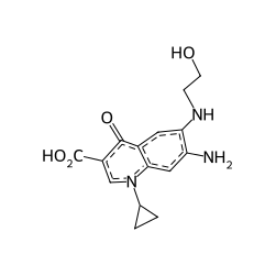 Nc1cc2c(cc1NCCO)c(=O)c(C(=O)O)cn2C1CC1